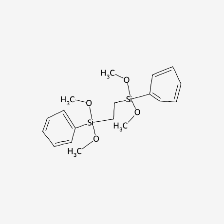 CO[Si](CC[Si](OC)(OC)c1ccccc1)(OC)c1ccccc1